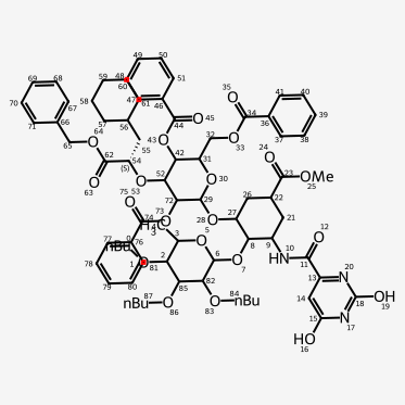 CCCCOC1C(C)OC(OC2C(NC(=O)c3cc(O)nc(O)n3)CC(C(=O)OC)CC2OC2OC(COC(=O)c3ccccc3)C(OC(=O)c3ccccc3)C(O[C@@H](CC3CCCCC3)C(=O)OCc3ccccc3)C2OC(=O)c2ccccc2)C(OCCCC)C1OCCCC